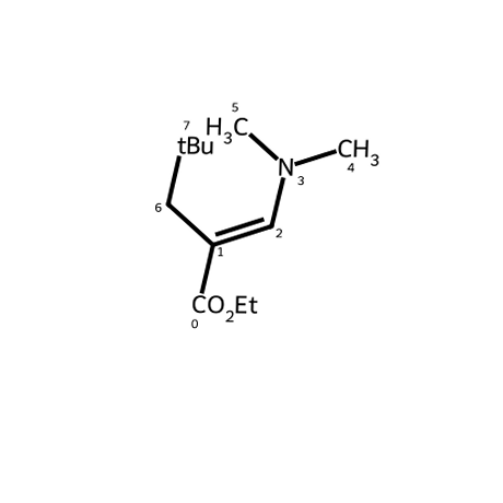 CCOC(=O)C(=CN(C)C)CC(C)(C)C